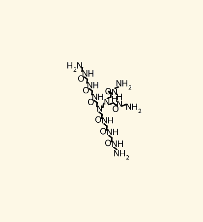 NCCNC(=O)CCNC(=O)CCNC(=O)CCN(CCC(=O)NCCC(=O)NCCC(=O)NCCN)CCN(CCC(=O)NCCN)CCC(=O)NCCN